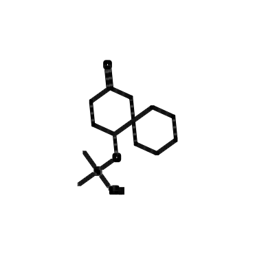 CC(C)(C)[Si](C)(C)OC1CCC(=O)CC12CCCCC2